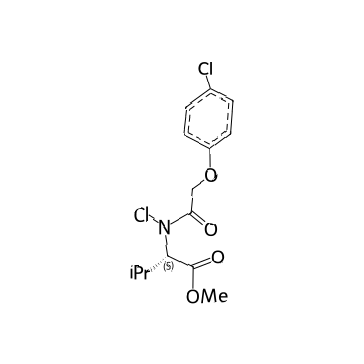 COC(=O)[C@H](C(C)C)N(Cl)C(=O)COc1ccc(Cl)cc1